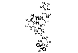 CN(CC(=N)/C=C(\Nc1ccccc1Cl)c1ccc(-c2cccc(S(C)(=O)=O)c2)s1)Cc1cccs1